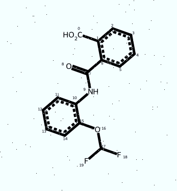 O=C(O)c1ccccc1C(=O)Nc1ccccc1OC(F)F